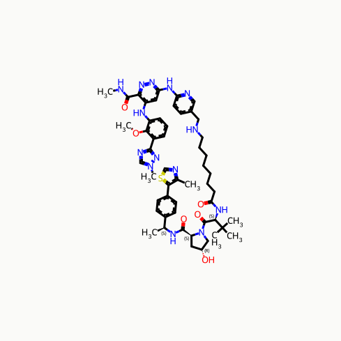 CNC(=O)c1nnc(Nc2ccc(CNCCCCCCCC(=O)N[C@H](C(=O)N3C[C@H](O)C[C@H]3C(=O)N[C@@H](C)c3ccc(-c4scnc4C)cc3)C(C)(C)C)cn2)cc1Nc1cccc(-c2ncn(C)n2)c1OC